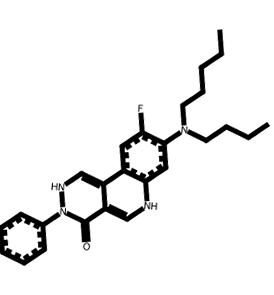 CCCCCN(CCCC)c1cc2c(cc1F)C1=CNN(c3ccccc3)C(=O)C1=CN2